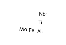 [Al].[Fe].[Mo].[Nb].[Ti]